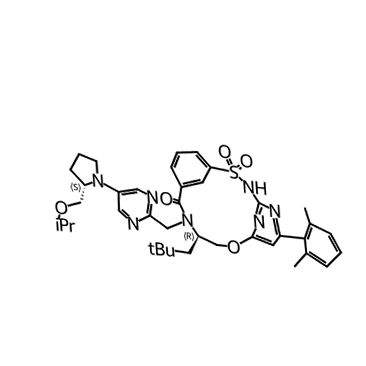 Cc1cccc(C)c1-c1cc2nc(n1)NS(=O)(=O)c1cccc(c1)C(=O)N(Cc1ncc(N3CCC[C@H]3COC(C)C)cn1)[C@H](CC(C)(C)C)CO2